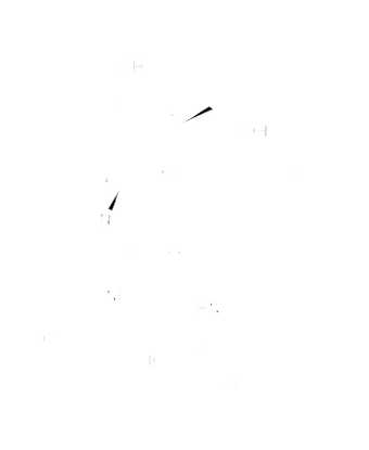 O=C(O)NCc1ccccc1.O=c1ccn([C@H]2C[C@H](O)[C@@H](CO)O2)c(=O)[nH]1